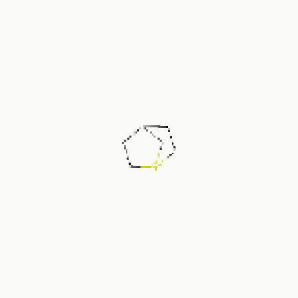 C1C[S+]2CCC1C2